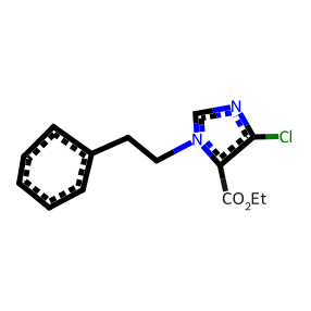 CCOC(=O)c1c(Cl)ncn1CCc1ccccc1